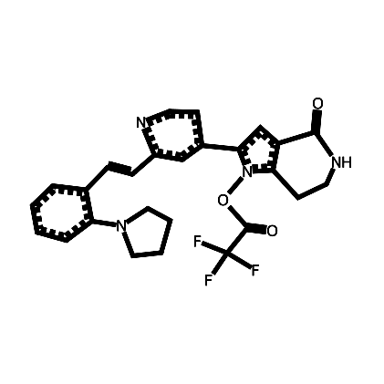 O=C1NCCc2c1cc(-c1ccnc(C=Cc3ccccc3N3CCCC3)c1)n2OC(=O)C(F)(F)F